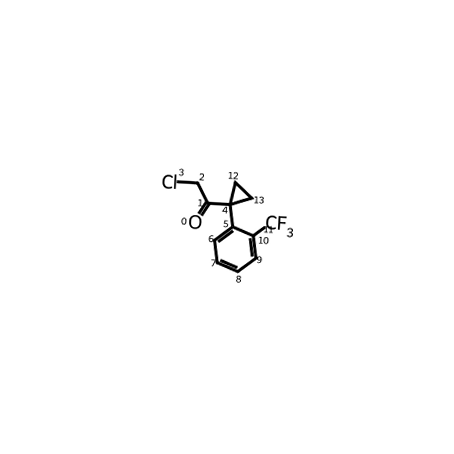 O=C(CCl)C1(c2ccccc2C(F)(F)F)CC1